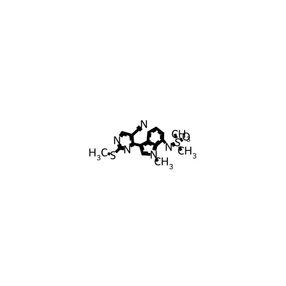 CSc1ncc(C#N)c(-c2cn(C)c3c(N=S(C)(C)=O)cccc23)n1